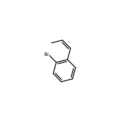 C/C=C\c1[c]cccc1Br